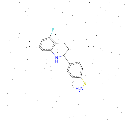 NSc1ccc(C2CCc3c(F)cccc3N2)cc1